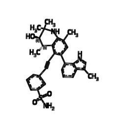 Cc1cc(-c2cccc3c(C)c[nH]c23)c(C#Cc2cccc(S(N)(=O)=O)c2)c2c1NC(C)(C)[C@H](O)[C@H]2C